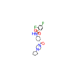 O=C([C@H]1CC[C@H](NS(=O)(=O)c2ccc(F)cc2F)CC1)N1CCN(C2CCCC2)CC1